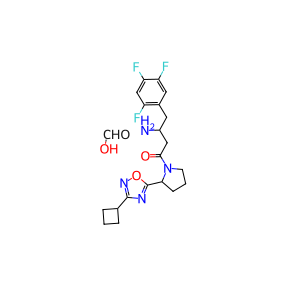 NC(CC(=O)N1CCCC1c1nc(C2CCC2)no1)Cc1cc(F)c(F)cc1F.O=CO